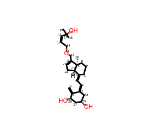 C=C1C(=CC=C2CCC[C@]3(C)C(COC/C=C\C(C)(C)O)=CC[C@@H]23)C[C@@H](O)C[C@@H]1O